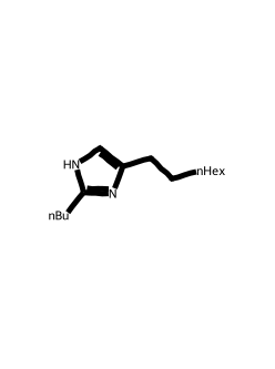 CCCCCCCCc1c[nH]c(CCCC)n1